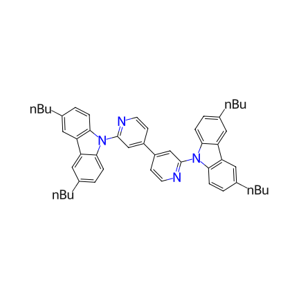 CCCCc1ccc2c(c1)c1cc(CCCC)ccc1n2-c1cc(-c2ccnc(-n3c4ccc(CCCC)cc4c4cc(CCCC)ccc43)c2)ccn1